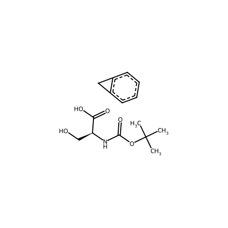 CC(C)(C)OC(=O)N[C@@H](CO)C(=O)O.c1ccc2c(c1)C2